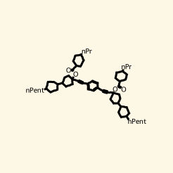 CCCCCC1CCC(C2CCC(C#Cc3ccc(C#CC4(OC(=O)C5CCC(CCC)CC5)CCC(C5CCC(CCCCC)CC5)CC4)cc3)(OC(=O)C3CCC(CCC)CC3)CC2)CC1